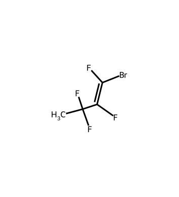 CC(F)(F)/C(F)=C(\F)Br